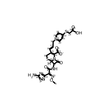 CON=C(C(=O)NC1C(=O)N2C(C(=O)[O-])=C(C=CC[n+]3ccc(SCC(=O)O)cc3)CS[C@@H]12)c1nsc(N)n1